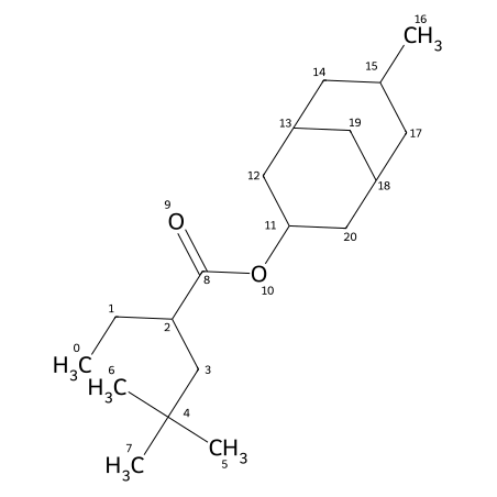 CCC(CC(C)(C)C)C(=O)OC1CC2CC(C)CC(C2)C1